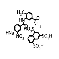 Cc1ccc(C(N)=O)cc1NC(=O)c1cccc([N+](=O)[O-])c1.O=S(=O)(O)c1cc(S(=O)(=O)O)c2cccc(S(=O)(=O)O)c2c1.[NaH]